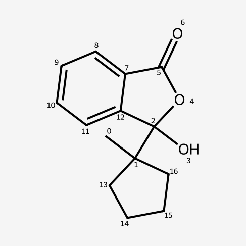 CC1(C2(O)OC(=O)c3ccccc32)CCCC1